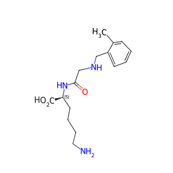 Cc1ccccc1CNCC(=O)N[C@@H](CCCCN)C(=O)O